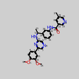 COc1ccc(-c2cncc(NC(C)c3cccc(NC(=O)c4cncc(C)c4)c3)n2)cc1OC